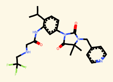 CC(C)c1ccc(N2C(=O)N(Cc3ccncc3)C(C)(C)C2=O)cc1NC(=O)CNCC(F)(F)F